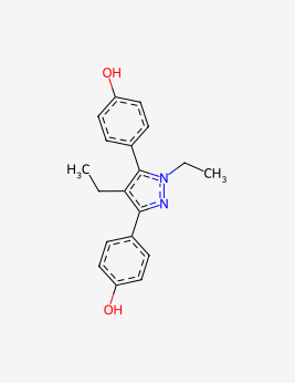 CCc1c(-c2ccc(O)cc2)nn(CC)c1-c1ccc(O)cc1